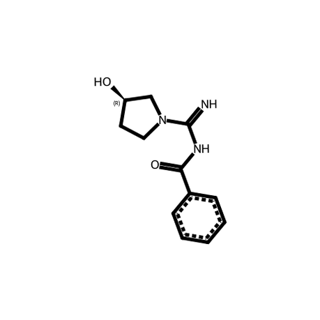 N=C(NC(=O)c1ccccc1)N1CC[C@@H](O)C1